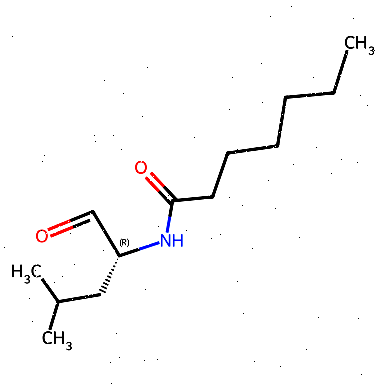 CCCCCCC(=O)N[C@@H](C=O)CC(C)C